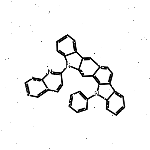 c1ccc(-n2c3ccccc3c3ccc4cc5c6ccccc6n(-c6ccc7ccccc7n6)c5cc4c32)cc1